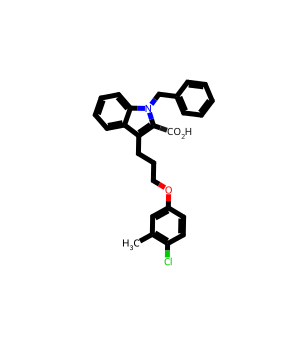 Cc1cc(OCCCc2c(C(=O)O)n(Cc3ccccc3)c3ccccc23)ccc1Cl